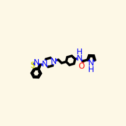 O=C(NC1CCC(CCN2CCN(c3nsc4ccccc34)CC2)CC1)c1ccc[nH]1